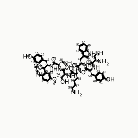 COc1ccc(N=C=O)c(C(=O)[C@@H](Cc2ccc(O)cc2)NC(=O)[C@H](CS)NC(=O)[C@@H](NC(=O)[C@H](CCCCN)NC(=O)[C@@H](Cc2c[nH]c3ccccc23)NC(=O)[C@H](Cc2ccc(O)cc2)NC(=O)[C@@H](N)CS)[C@@H](C)O)c1